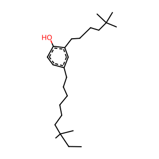 CCC(C)(C)CCCCCCc1ccc(O)c(CCCCC(C)(C)C)c1